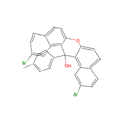 Cc1ccc(C2(O)c3c(ccc4ccc(Br)cc34)Oc3ccc4ccc(Br)cc4c32)cc1